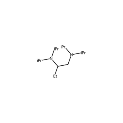 CCC(CN(C(C)C)C(C)C)N(C(C)C)C(C)C